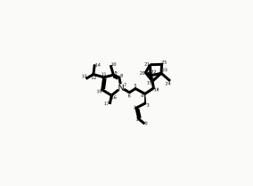 C/C=C\C[C@@H](CCN1C=C(C)C(C(C)C)=CC1C)CC1=CC2CC1(C)C2